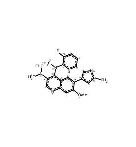 COc1cc2ncc(N(C)C=O)c(N(C)c3ncccc3F)c2cc1-c1cnn(C)c1